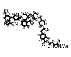 CCOc1cc(-c2ccc(N3CCC(CN4CCN(CC5CCN(C(=O)Cc6ccc7c(c6)CN(C(C=O)CCC(=O)NC)C7=O)CC5)CC4)(NC(=O)c4cc(F)ccc4F)CC3)nc2)c2c(C#N)cnn2c1